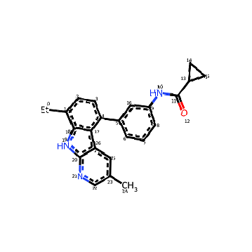 CCc1ccc(-c2cccc(NC(=O)C3CC3)c2)c2c1[nH]c1ncc(C)cc12